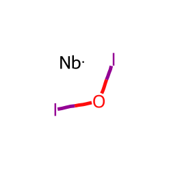 IOI.[Nb]